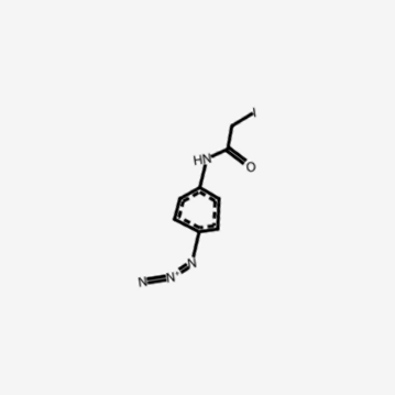 [N-]=[N+]=Nc1ccc(NC(=O)CI)cc1